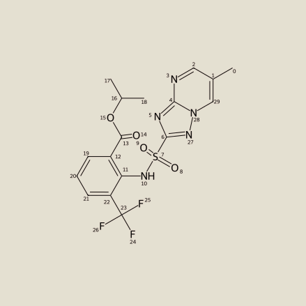 Cc1cnc2nc(S(=O)(=O)Nc3c(C(=O)OC(C)C)cccc3C(F)(F)F)nn2c1